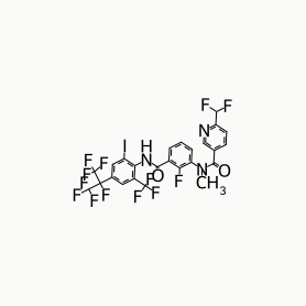 CN(C(=O)c1ccc(C(F)F)nc1)c1cccc(C(=O)Nc2c(I)cc(C(F)(C(F)(F)F)C(F)(F)F)cc2C(F)(F)F)c1F